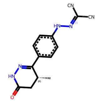 [C-]#[N+]/C(C#N)=N\Nc1ccc(C2=NNC(=O)C[C@H]2C)cc1